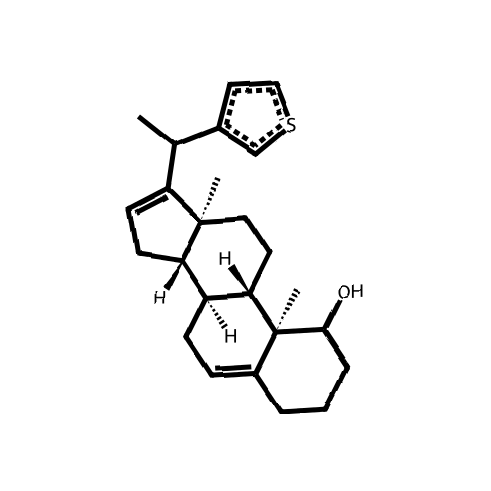 CC(C1=CC[C@H]2[C@@H]3CC=C4CCCC(O)[C@]4(C)[C@H]3CC[C@]12C)c1ccsc1